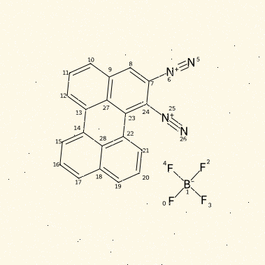 F[B-](F)(F)F.N#[N+]c1cc2cccc3c4cccc5cccc(c(c1[N+]#N)c23)c54